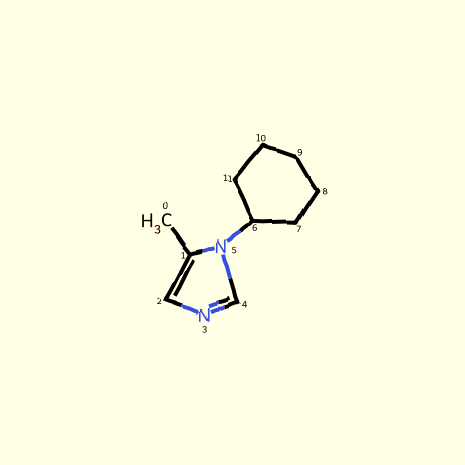 Cc1cncn1C1CCCCC1